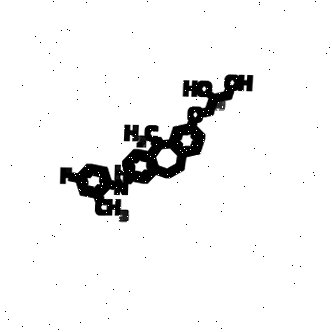 C=C1c2ccc(Nc3ccc(F)cc3C)cc2CCc2ccc(OC[C@H](O)CO)cc21